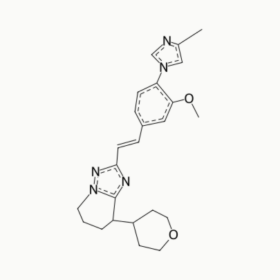 COc1cc(C=Cc2nc3n(n2)CCCC3C2CCOCC2)ccc1-n1cnc(C)c1